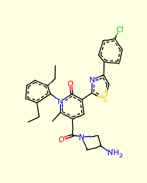 CCc1cccc(CC)c1-n1c(C)c(C(=O)N2CC(N)C2)cc(-c2nc(-c3ccc(Cl)cc3)cs2)c1=O